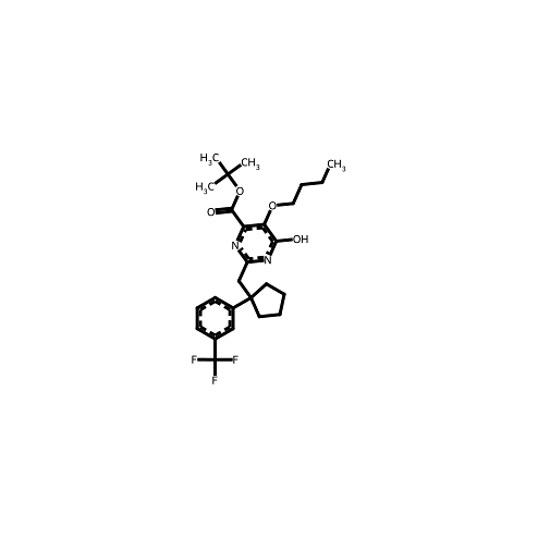 CCCCOc1c(O)nc(CC2(c3cccc(C(F)(F)F)c3)CCCC2)nc1C(=O)OC(C)(C)C